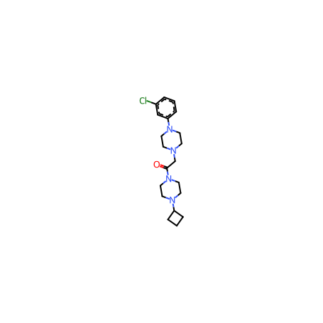 O=C(CN1CCN(c2cccc(Cl)c2)CC1)N1CCN(C2CCC2)CC1